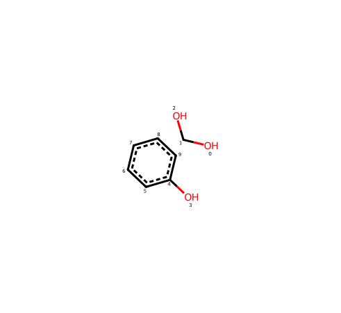 OCO.Oc1ccccc1